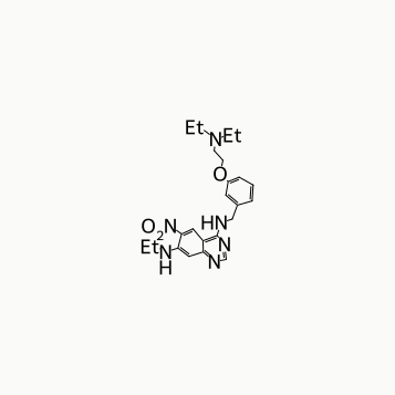 CCNc1cc2ncnc(NCc3cccc(OCCN(CC)CC)c3)c2cc1[N+](=O)[O-]